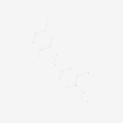 CCOC(=O)Nc1ccc(NCc2cc(F)c(C)cc2C)nc1N